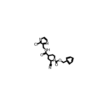 N#CC1CC(C(=O)NCc2nccnc2Cl)CCN1C(=O)OCc1ccccc1